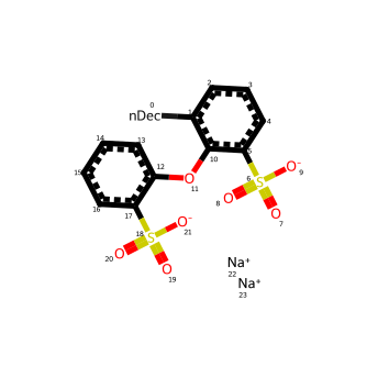 CCCCCCCCCCc1cccc(S(=O)(=O)[O-])c1Oc1ccccc1S(=O)(=O)[O-].[Na+].[Na+]